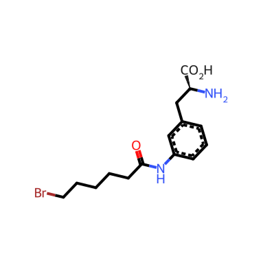 N[C@@H](Cc1cccc(NC(=O)CCCCCBr)c1)C(=O)O